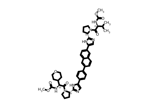 COC(=O)N[C@H](C(=O)N1CCC[C@H]1c1ncc(-c2ccc3cc(-c4ccc(-c5cnc([C@@H]6CCCN6C(=O)[C@@H](NC(=O)OC)C6CCOCC6)[nH]5)cc4)ccc3c2)[nH]1)C(C)C